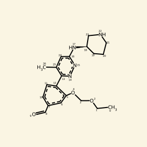 CCOCOc1cc(C=O)ccc1-c1nnc(N[C@@H]2CCCNC2)cc1C